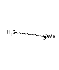 CC=CCCCCCCCCCCCCCCCCCCCCC(=O)OC